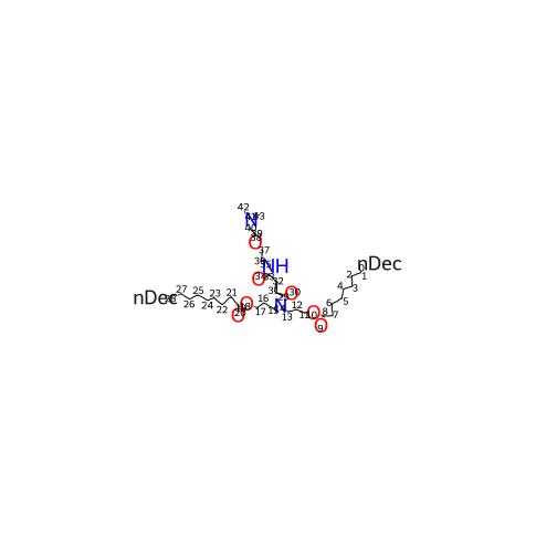 CCCCCCCCCCCCCCCCCC(=O)OCCCN(CCCOC(=O)CCCCCCCCCCCCCCCCC)C(=O)C=CC(=O)NCCOCCN(C)C